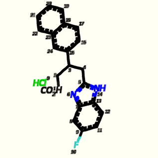 Cl.O=C(O)CC(Cc1nc2cc(F)ccc2[nH]1)c1ccc2ccccc2c1